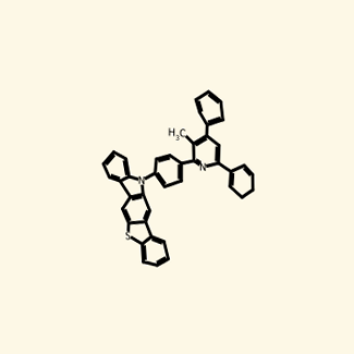 Cc1c(-c2ccccc2)cc(C2=CCCC=C2)nc1-c1ccc(-n2c3ccccc3c3cc4sc5ccccc5c4cc32)cc1